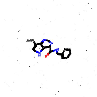 CC(=O)Nc1c[nH]c2c(C(=O)NCc3ccccc3)ncnc12